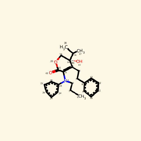 CCCN(C1=C(CCc2ccccc2)[C@](O)(C(C)C)COC1=O)c1ccccc1